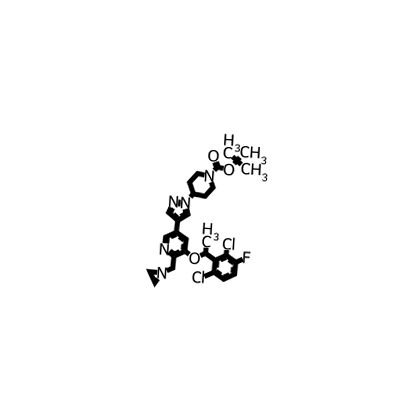 CC(Oc1cc(-c2cnn(C3CCN(C(=O)OC(C)(C)C)CC3)c2)cnc1CN1CC1)c1c(Cl)ccc(F)c1Cl